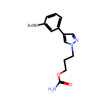 CC(=O)Nc1cccc(-c2cnn(CCCOC(N)=O)c2)c1